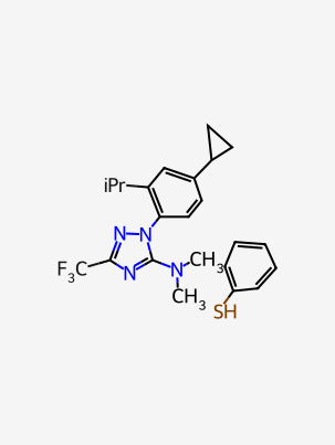 CC(C)c1cc(C2CC2)ccc1-n1nc(C(F)(F)F)nc1N(C)C.Sc1ccccc1